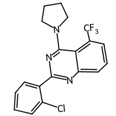 FC(F)(F)c1cccc2nc(-c3ccccc3Cl)nc(N3CCCC3)c12